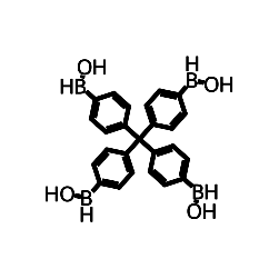 OBc1ccc(C(c2ccc(BO)cc2)(c2ccc(BO)cc2)c2ccc(BO)cc2)cc1